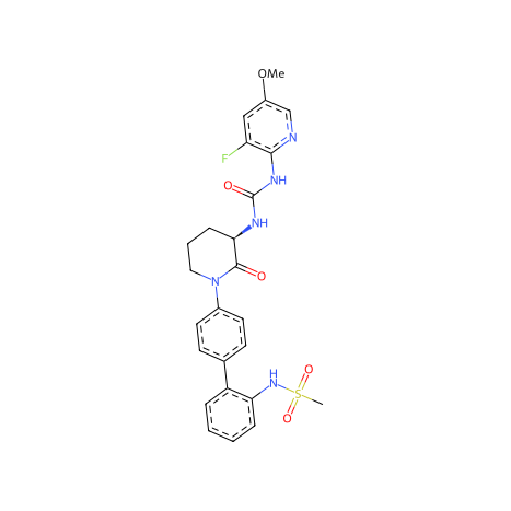 COc1cnc(NC(=O)N[C@@H]2CCCN(c3ccc(-c4ccccc4NS(C)(=O)=O)cc3)C2=O)c(F)c1